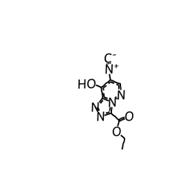 [C-]#[N+]c1cnn2c(C(=O)OCC)nnc2c1O